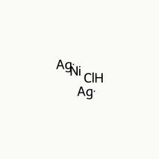 Cl.[Ag].[Ag].[Ni]